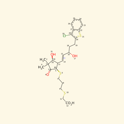 CC1(C)C(=O)[C@H](SCCCSCC(=O)O)C(/C=C/C(O)CCc2sc3ccccc3c2Cl)[C@@H]1O